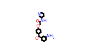 Nc1cccc(C(=O)c2ccc(OCC(=O)Nc3cccnc3)cc2)c1